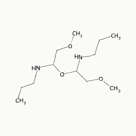 CCCNC(COC)OC(COC)NCCC